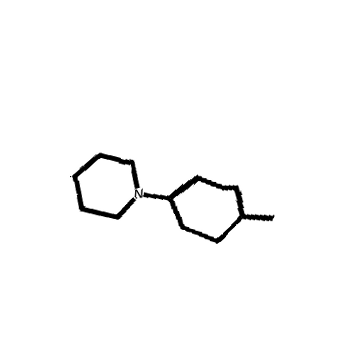 CC1CCC(N2CC[CH]CC2)CC1